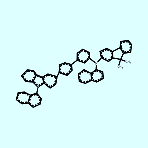 CC1(C)c2ccccc2-c2ccc(N(c3cccc(-c4ccc(-c5ccc6c(c5)c5ccccc5n6-c5cccc6ccccc56)cc4)c3)c3cccc4ccccc34)cc21